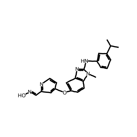 CC(C)c1cccc(Nc2nc3cc(Oc4ccnc(C=NO)c4)ccc3n2C)c1